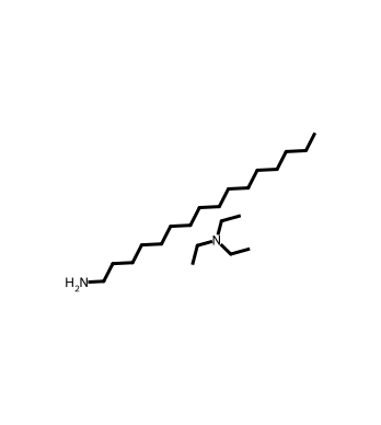 CCCCCCCCCCCCCCCCN.CCN(CC)CC